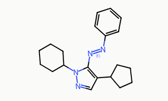 c1ccc(/N=N/c2c(C3CCCC3)cnn2C2CCCCC2)cc1